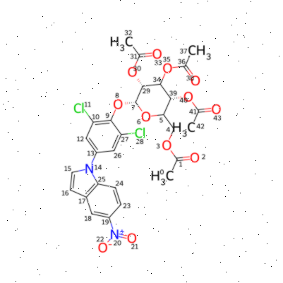 CC(=O)OCC1O[C@H](Oc2c(Cl)cc(-n3ccc4cc([N+](=O)[O-])ccc43)cc2Cl)[C@H](OC(C)=O)C(OC(C)=O)[C@@H]1OC(C)=O